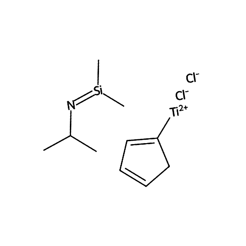 CC(C)N=[Si](C)C.[Cl-].[Cl-].[Ti+2][C]1=CC=CC1